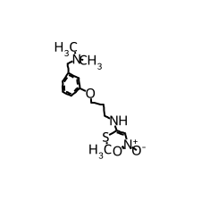 CS/C(=C\[N+](=O)[O-])NCCCOc1cccc(CN(C)C)c1